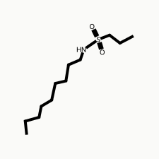 CCCCCCCCCNS(=O)(=O)CCC